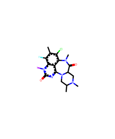 Cc1c(Cl)c2c3c(nc(=O)n(I)c3c1F)N1CC(C)N(C)CC1C(=O)N2C